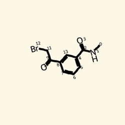 CNC(=O)c1cccc(C(=O)CBr)c1